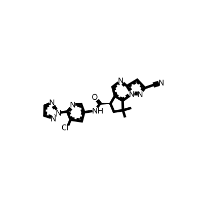 CC1(C)C[C@@H](C(=O)Nc2cnc(-n3nccn3)c(Cl)c2)c2cnc3cc(C#N)nn3c21